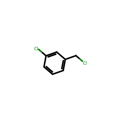 Cl[CH]c1cccc(Cl)c1